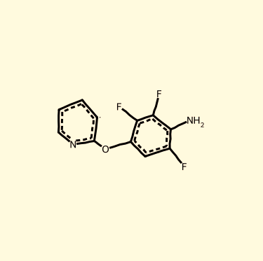 Nc1c(F)cc(Oc2[c]cccn2)c(F)c1F